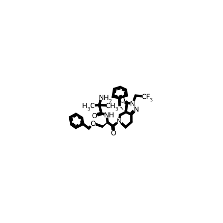 CC(C)(N)C(=O)N[C@H](COCc1ccccc1)C(=O)N1CCC2=NN(CC(F)(F)F)C(=O)[C@]2(Cc2ccccc2)C1